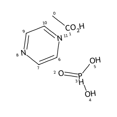 CC(=O)O.O=[PH](O)O.c1cnccn1